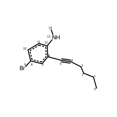 CCCCC#Cc1cc(Br)ccc1NC